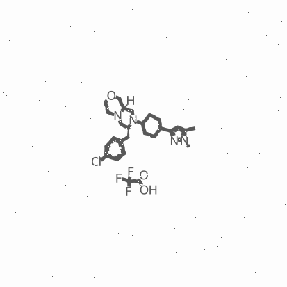 Cc1cc(C2CCC(N3C[C@@H]4COCCN4C[C@@H]3Cc3ccc(Cl)cc3)CC2)nn1C.O=C(O)C(F)(F)F